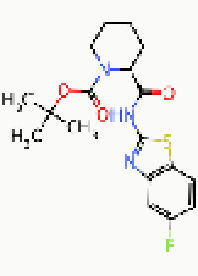 CC(C)(C)OC(=O)N1CCCC[C@H]1C(=O)Nc1nc2cc(F)ccc2s1